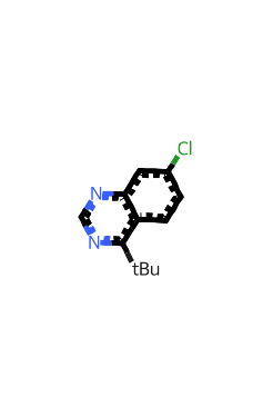 CC(C)(C)c1ncnc2cc(Cl)ccc12